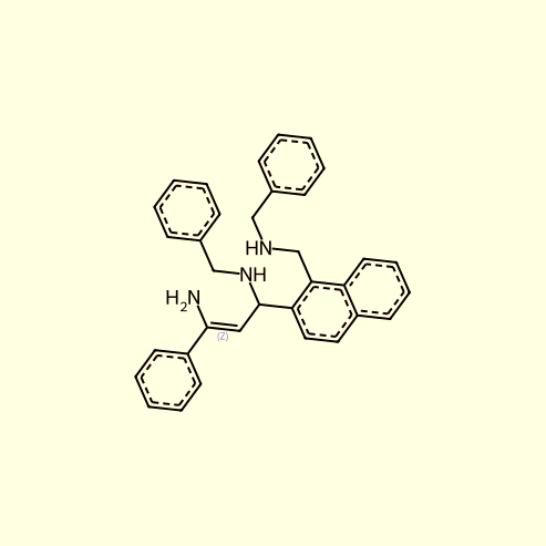 N/C(=C\C(NCc1ccccc1)c1ccc2ccccc2c1CNCc1ccccc1)c1ccccc1